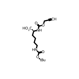 C#CCOC(=O)N[C@@H](CCCCNC(=O)OC(C)(C)C)C(=O)O